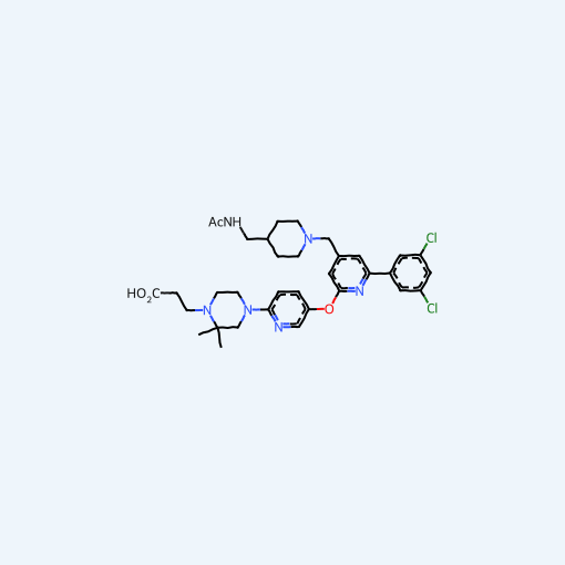 CC(=O)NCC1CCN(Cc2cc(Oc3ccc(N4CCN(CCC(=O)O)C(C)(C)C4)nc3)nc(-c3cc(Cl)cc(Cl)c3)c2)CC1